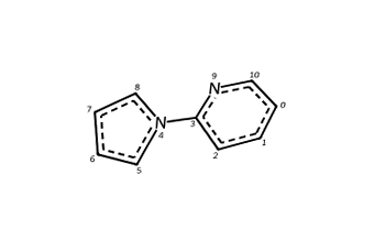 c1ccc(-n2cccc2)nc1